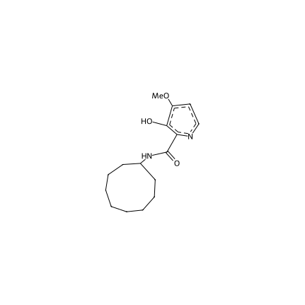 COc1ccnc(C(=O)NC2CCCCCCCC2)c1O